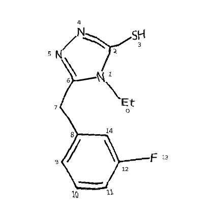 CCn1c(S)nnc1Cc1cccc(F)c1